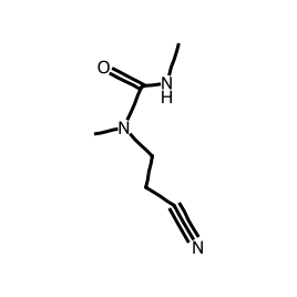 CNC(=O)N(C)CCC#N